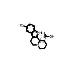 C[C@@]12c3[nH]c4ccc(O)cc4c3CCN1CCC[C@H]2C(=O)O